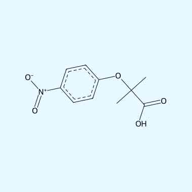 CC(C)(Oc1ccc([N+](=O)[O-])cc1)C(=O)O